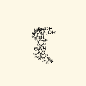 N=C(NC(CO)CO)c1c(Oc2ccc(NC(=O)c3ccnn(-c4ccc(F)cc4)c3=O)cc2F)ccnc1N